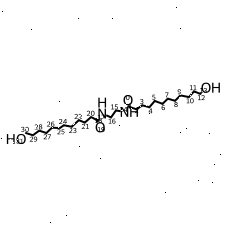 O=C(CCCCCCCCCCCO)NCCNC(=O)CCCCCCCCCCCO